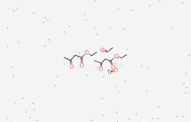 CC=O.CCOC(=O)CC(C)=O.CCOC(=O)CC(C)=O.[O]=[Ti]